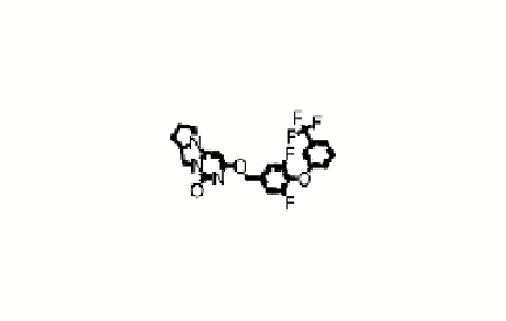 O=c1nc(OCc2cc(F)c(Oc3cccc(C(F)(F)F)c3)c(F)c2)cc2n1CC1CCCN21